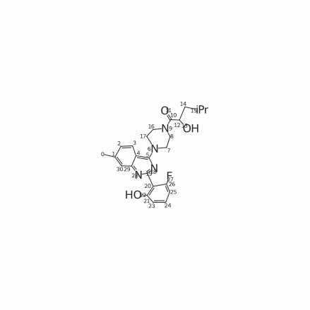 Cc1ccc2c(N3CCN(C(=O)C(O)CC(C)C)CC3)nc(-c3c(O)cccc3F)nc2c1